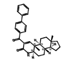 C[C@@]12CCC[C@H]1[C@@H]1CC[C@H]3NC(=O)C(C(=O)c4ccc(-c5ccccc5)cc4)=C[C@]3(C)[C@H]1CC2